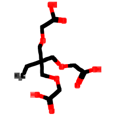 CCC(COCC(=O)O)(COCC(=O)O)COCC(=O)O